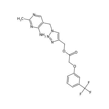 Cc1ncc(Cn2cc(COC(=O)COc3cccc(C(F)(F)F)c3)nn2)c(N)n1